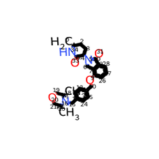 C=C1CCC(N2Cc3c(OCc4ccc(CN5[C@H](C)COC[C@@H]5C)cc4)cccc3C2=O)C(=O)N1